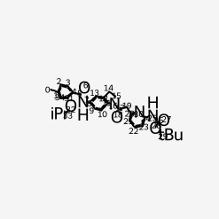 Cc1ccc(C(=O)Nc2ccc3c(c2)CCN3C(=O)Cc2cccc(NC(=O)OC(C)(C)C)n2)c(OC(C)C)c1